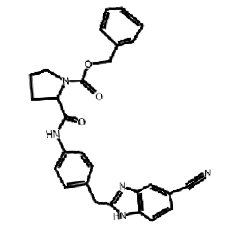 N#Cc1ccc2[nH]c(Cc3ccc(NC(=O)C4CCCN4C(=O)OCc4ccccc4)cc3)nc2c1